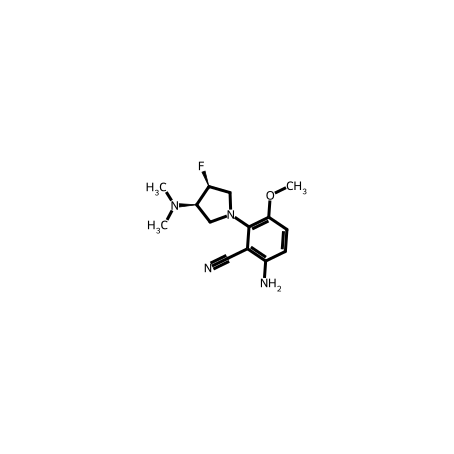 COc1ccc(N)c(C#N)c1N1C[C@@H](N(C)C)[C@@H](F)C1